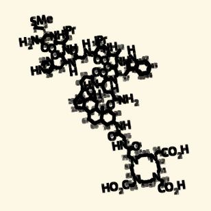 CSCC[C@H](NC(=O)C(CC(C)C)NC(=O)[C@H](Cc1c[nH]cn1)NC(=O)CNC(=O)C(NC(=O)C(C)NC(=O)[C@H](Cc1c[nH]c2ccccc12)NC(=O)C(CCC(N)=O)NC(=O)CC[C@H]1O[C@H]2CC3C(CCC4CC(NC(=O)CNC(=O)CN5CCN(CC(=O)O)CCN(CC(=O)O)CCN(CC(=O)O)CC5)CCC43C)C3CCC1C32C)C(C)C)C(N)=O